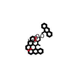 CC(C(CC(=O)OCc1c2ccccc2cc2ccccc12)C(=O)O)C(c1c2ccccc2cc2ccccc12)c1c2ccccc2cc2ccccc12